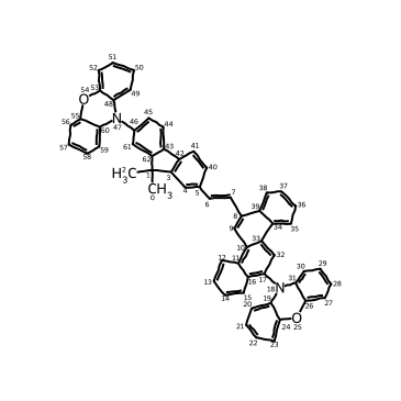 CC1(C)c2cc(/C=C/c3cc4c5ccccc5c(N5c6ccccc6Oc6ccccc65)cc4c4ccccc34)ccc2-c2ccc(N3c4ccccc4Oc4ccccc43)cc21